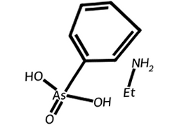 CCN.O=[As](O)(O)c1ccccc1